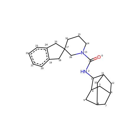 O=C(NC1C2CC3CC(C2)CC1C3)N1CCCC2(Cc3ccccc3C2)C1